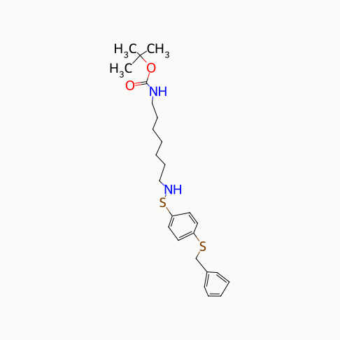 CC(C)(C)OC(=O)NCCCCCCCNSc1ccc(SCc2ccccc2)cc1